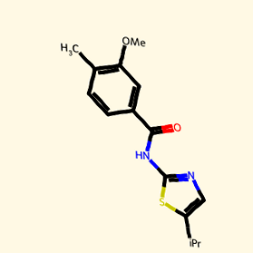 COc1cc(C(=O)Nc2ncc(C(C)C)s2)ccc1C